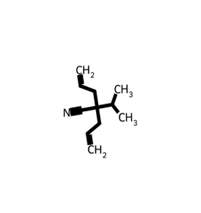 C=CCC(C#N)(CC=C)C(C)C